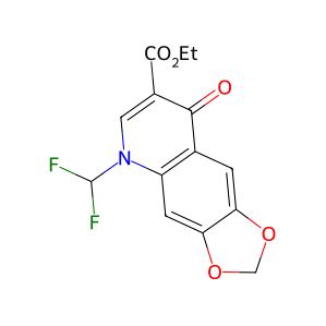 CCOC(=O)c1cn(C(F)F)c2cc3c(cc2c1=O)OCO3